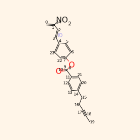 C=C(/C=C/c1ccc(OC(=O)c2ccc(CCC#CC)cc2)cc1)[N+](=O)[O-]